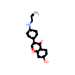 C=CCNc1ccc(-c2coc3cc(O)ccc3c2=O)cc1